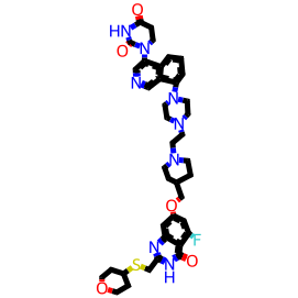 O=C1CCN(c2cncc3c(N4CCN(CCN5CCC(COc6cc(F)c7c(=O)[nH]c(CSC8CCOCC8)nc7c6)CC5)CC4)cccc23)C(=O)N1